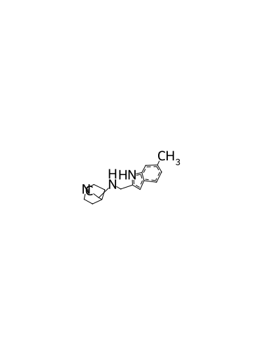 Cc1ccc2cc(CNC3CN4CCC3CC4)[nH]c2c1